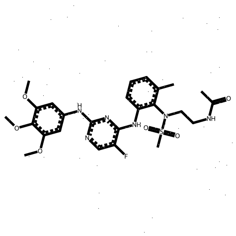 COc1cc(Nc2ncc(F)c(Nc3cccc(C)c3N(CCNC(C)=O)S(C)(=O)=O)n2)cc(OC)c1OC